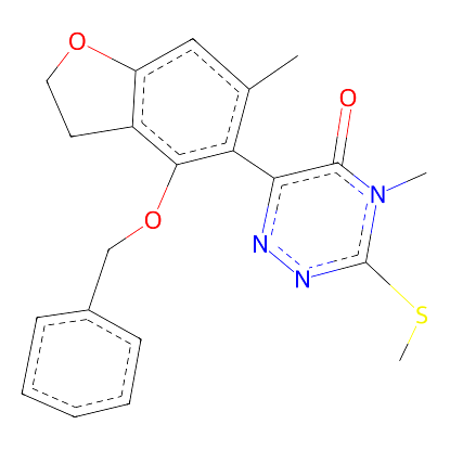 CSc1nnc(-c2c(C)cc3c(c2OCc2ccccc2)CCO3)c(=O)n1C